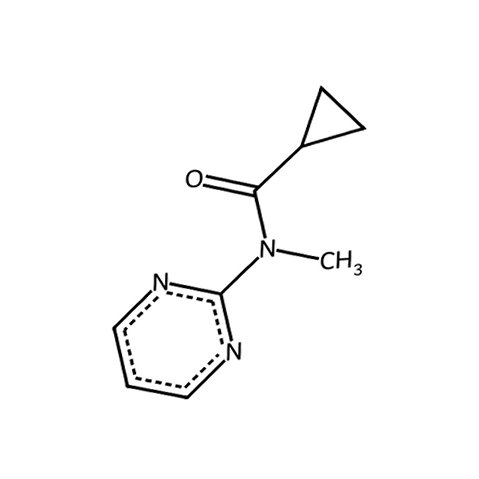 CN(C(=O)C1CC1)c1ncccn1